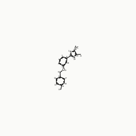 CC(=O)c1sc(-c2cccc(OCc3ccc(C)cc3)c2)nc1C